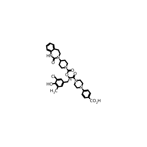 Cc1cc(C[C@@H](OC(=O)N2CCC(N3CCc4ccccc4NC3=O)CC2)C(=O)N2CCN(c3ccc(C(=O)O)cc3)CC2)cc(Cl)c1O